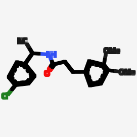 COc1ccc(CCC(=O)NC(C#N)c2ccc(Cl)cc2)cc1OC